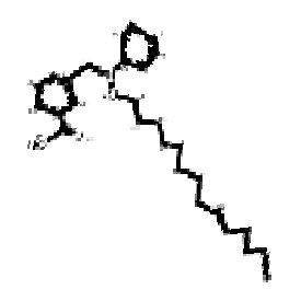 CCCCCCCCCCCCCCON(Cc1cccc(C(=O)O)c1)c1ccccc1